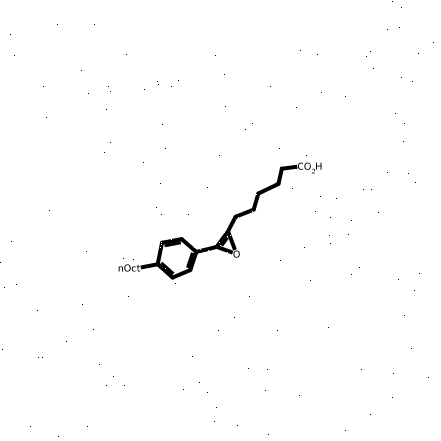 CCCCCCCCc1ccc(C2=C(CCCCCC(=O)O)O2)cc1